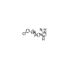 CC(c1cc(-c2cccc(Cl)c2)on1)N1CCN(C2NCCNC2C#N)CC1